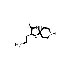 CCC[C@@H]1SC2(CCNCC2)NC1=O